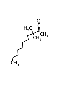 CCCCCCCCC(C)(C)C(C)=C=O